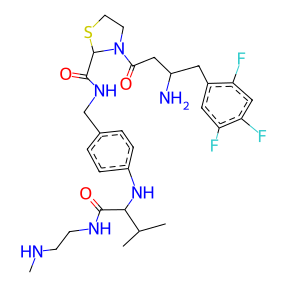 CNCCNC(=O)C(Nc1ccc(CNC(=O)C2SCCN2C(=O)CC(N)Cc2cc(F)c(F)cc2F)cc1)C(C)C